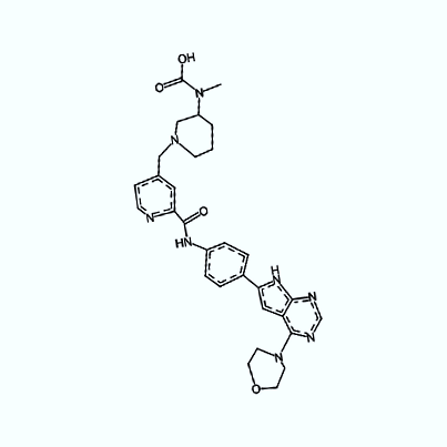 CN(C(=O)O)C1CCCN(Cc2ccnc(C(=O)Nc3ccc(-c4cc5c(N6CCOCC6)ncnc5[nH]4)cc3)c2)C1